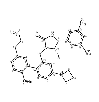 COc1ccc(CCC(=O)O)cc1-c1cnc(N2CCC2)nc1CN1C(=O)O[C@H](c2cc(C(F)(F)F)cc(C(F)(F)F)c2)[C@@H]1C